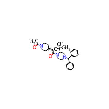 CC(=O)N1CCC(CC(=O)N2CCN(C(c3ccccc3)c3ccccc3)C[C@@H]2C(C)(C)C)CC1